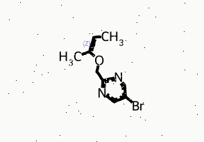 C/C=C(/C)OCc1ncc(Br)cn1